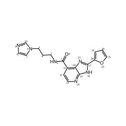 O=C(NCCCn1ccnc1)c1ccnc2[nH]c(-c3ccco3)nc12